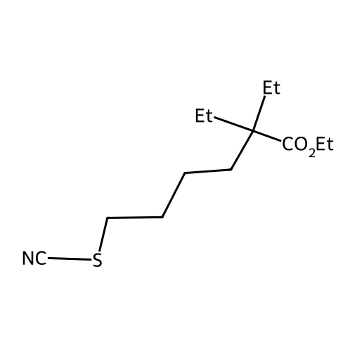 CCOC(=O)C(CC)(CC)CCCCSC#N